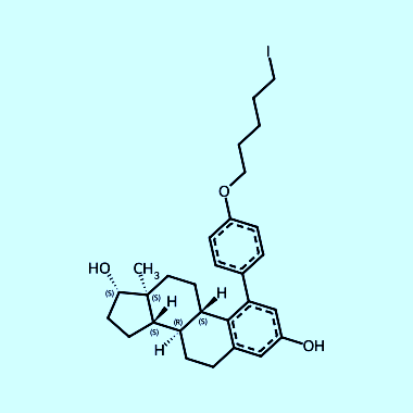 C[C@]12CC[C@@H]3c4c(cc(O)cc4-c4ccc(OCCCCCI)cc4)CC[C@H]3[C@@H]1CC[C@@H]2O